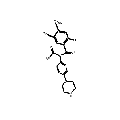 COc1cc(O)c(C(=N)N(C(N)=O)c2ccc(N3CCNCC3)cc2)cc1C(C)C